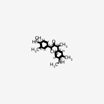 CNc1ccc(C(C)C(=O)C(C)c2ccc(NC)c(C)c2)cc1C